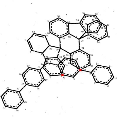 C1=CC(N(c2ccc(-c3ccccc3)cc2)c2ccc(-c3ccccc3)cc2)C(C2(c3ccccc3)c3ccccc3C3(c4ccccc4)c4ccccc4-c4cccc2c43)C=C1